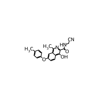 Cc1ccc(Oc2ccc3c(O)c(C(=O)NCC#N)nc(C)c3c2)cc1